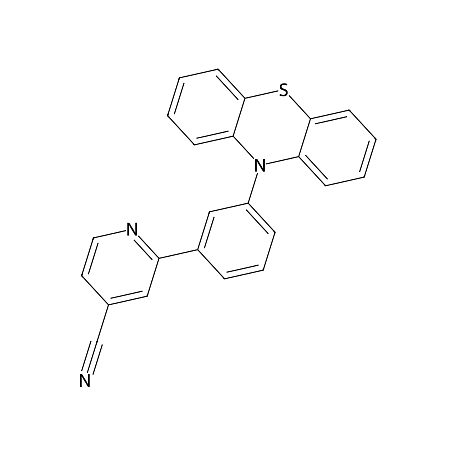 N#Cc1ccnc(-c2cccc(N3c4ccccc4Sc4ccccc43)c2)c1